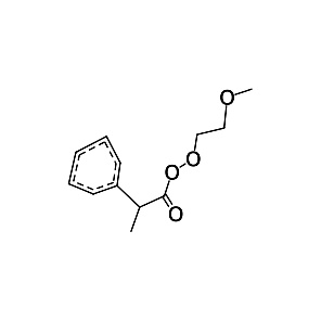 COCCOOC(=O)C(C)c1ccccc1